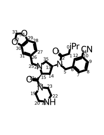 CC(C)CC(=O)N(Cc1cccc(C#N)c1)[C@H]1C[C@@H](C(=O)N2CCNCC2)N(Cc2ccc3c(c2)OCO3)C1